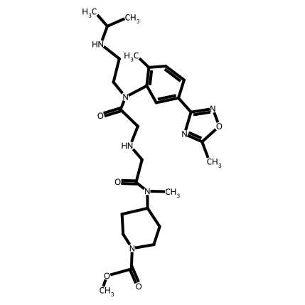 COC(=O)N1CCC(N(C)C(=O)CNCC(=O)N(CCNC(C)C)c2cc(-c3noc(C)n3)ccc2C)CC1